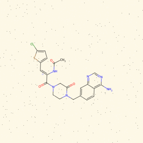 CC(=O)N/C(=C\c1ccc(Cl)s1)C(=O)N1CCN(Cc2ccc3c(N)ncnc3c2)C(=O)C1